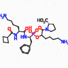 NCCCCC(OP(=O)(O)[C@@H](Cc1ccccc1)NC(=O)[C@H](CCCCN)NC(=O)C1CCC1)C(=O)N1CCC[C@H]1C(=O)O